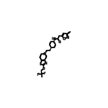 Cc1cc(CC(=O)N[C@H]2CC[C@H](CCN3CCc4sc(OCC(C)(F)F)nc4C3)CC2)on1